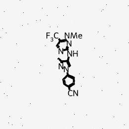 CNc1nc(Nc2cn(-c3ccc(C#N)cc3)nc2C)ncc1C(F)(F)F